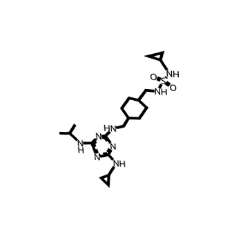 CC(C)Nc1nc(NCC2CCC(CNS(=O)(=O)NC3CC3)CC2)nc(NC2CC2)n1